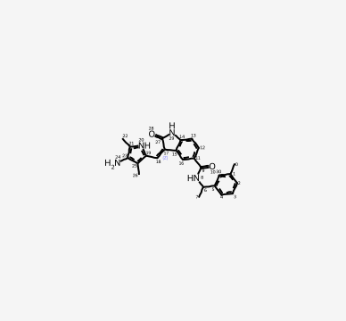 Cc1cccc(C(C)NC(=O)c2ccc3c(c2)/C(=C/c2[nH]c(C)c(N)c2C)C(=O)N3)c1